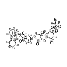 CC(C)(C)[Si](OC1CCN(C2CCN(Cc3c(Cl)cc(OS(=O)(=O)C(F)(F)F)cc3Cl)C2=O)CC1)(c1ccccc1)c1ccccc1